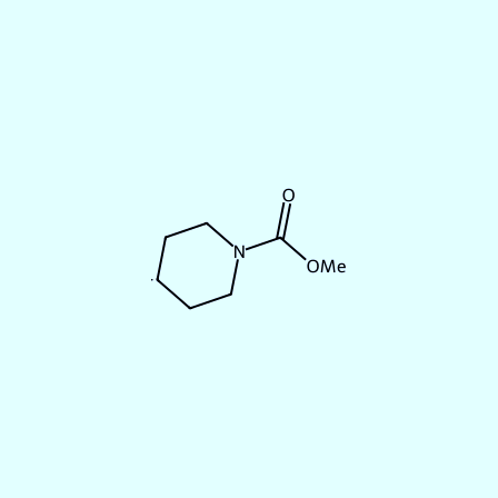 COC(=O)N1CC[CH]CC1